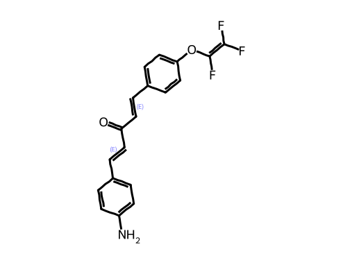 Nc1ccc(/C=C/C(=O)/C=C/c2ccc(OC(F)=C(F)F)cc2)cc1